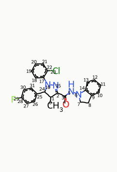 CC1C(C(=O)NN2CCc3ccccc32)=NN(c2ccccc2Cl)C1c1ccc(F)cc1